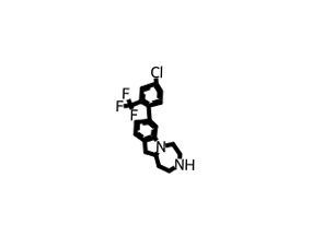 FC(F)(F)c1cc(Cl)ccc1-c1ccc2c(c1)N1CCNCCC1C2